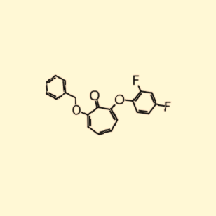 O=c1c(OCc2ccccc2)ccccc1Oc1ccc(F)cc1F